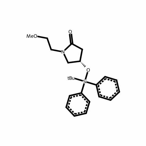 COCCN1C[C@@H](O[Si](c2ccccc2)(c2ccccc2)C(C)(C)C)CC1=O